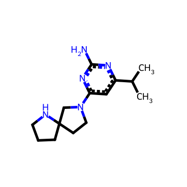 CC(C)c1cc(N2CCC3(CCCN3)C2)nc(N)n1